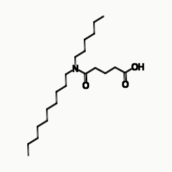 CCCCCCCCCCN(CCCCCC)C(=O)CCCC(=O)O